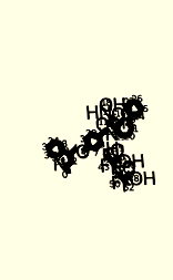 Cc1cc(COc2ccc(C(=O)NC3(CC(=O)NO)CCCN(c4ccccc4)C3)cc2)c2ccccc2n1.O=C(O)C(F)(F)F.O=C(O)C(F)(F)F